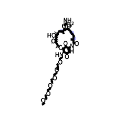 CCOCCOCCOCCOCCOCCOCCNC1=C2C[C@H](C)C[C@@H](OC)[C@@H](O)[C@H](C)/C=C(\C)[C@@H](OC(N)=O)[C@H](OC)/C=C\C=C(/C)C(=O)NC(=CC1=O)C2=O